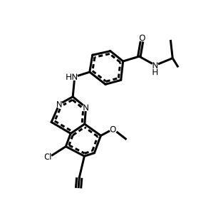 C#Cc1cc(OC)c2nc(Nc3ccc(C(=O)NC(C)C)cc3)ncc2c1Cl